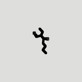 CCCCC(=O)C(C=O)CC